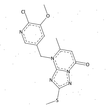 COc1cc(Cn2c(C)cc(=O)n3nc(SC)nc23)cnc1Cl